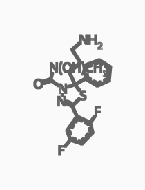 CN(O)C(=O)N1N=C(c2cc(F)ccc2F)SC1(CCCN)c1ccccc1